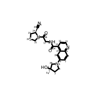 C[C@@]1(O)CCN(c2ccc3nccc(C(=O)NCC(=O)N4CSC[C@H]4C#N)c3c2)C1